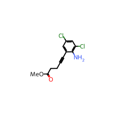 COC(=O)CCC#Cc1cc(Cl)cc(Cl)c1N